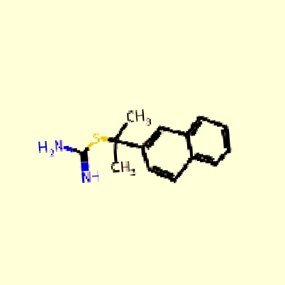 CC(C)(SC(=N)N)c1ccc2ccccc2c1